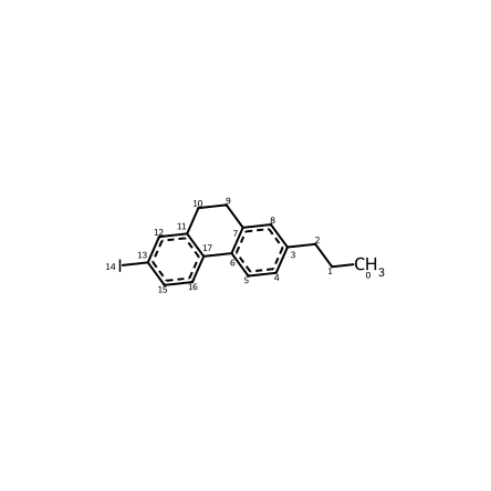 CCCc1ccc2c(c1)CCc1cc(I)ccc1-2